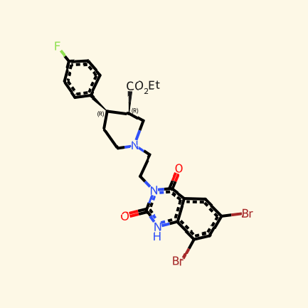 CCOC(=O)[C@H]1CN(CCn2c(=O)[nH]c3c(Br)cc(Br)cc3c2=O)CC[C@H]1c1ccc(F)cc1